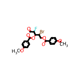 COc1ccc(C(=O)OCC(Br)C(OC(=O)c2ccc(OC)cc2)C(F)C=O)cc1